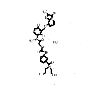 Cc1nc2c(OCc3c(Cl)ccc(N(C)C(=O)CNC(=O)Nc4cccc(C(=O)N(CCO)CCO)c4)c3Cl)cccn2c1Br.Cl